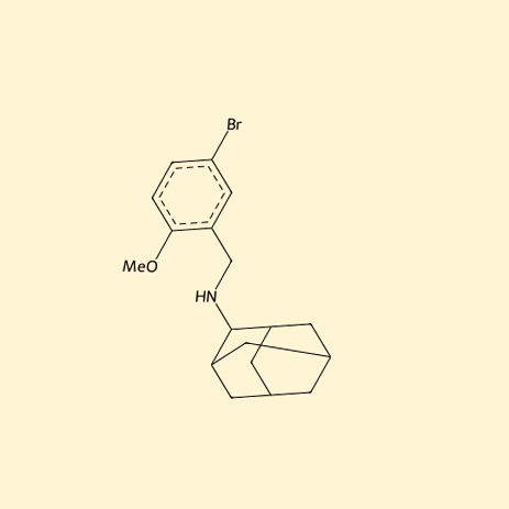 COc1ccc(Br)cc1CNC1C2CC3CC(C2)CC1C3